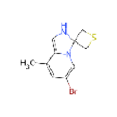 CC1=CC(Br)=CN2C1=CNC21CSC1